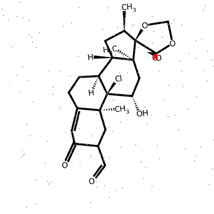 C[C@@H]1C[C@H]2[C@@H]3CCC4=CC(=O)C(C=O)C[C@]4(C)[C@@]3(Cl)[C@@H](O)C[C@]2(C)[C@]12OCOC21COCO1